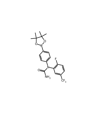 CC1(C)OB(c2ccc(N(C(N)=O)c3cc(C(F)(F)F)ccc3F)cc2)OC1(C)C